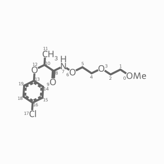 COCCOCCONC(=O)C(C)Oc1ccc(Cl)cc1